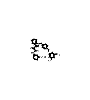 O=C(Nc1cccc(C(=O)O)c1)C(=O)c1cn(Cc2ccc(COc3cc(C(F)(F)F)cc(C(F)(F)F)c3)cc2)c2ccccc12